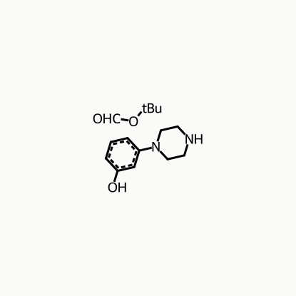 CC(C)(C)OC=O.Oc1cccc(N2CCNCC2)c1